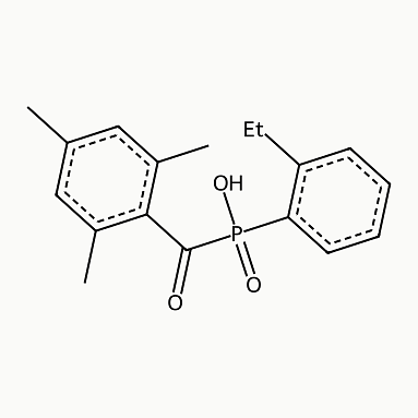 CCc1ccccc1P(=O)(O)C(=O)c1c(C)cc(C)cc1C